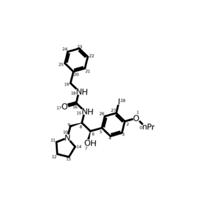 CCCOc1ccc([C@@H](O)[C@@H](CN2CCCC2)NC(=O)NCc2ccccc2)cc1I